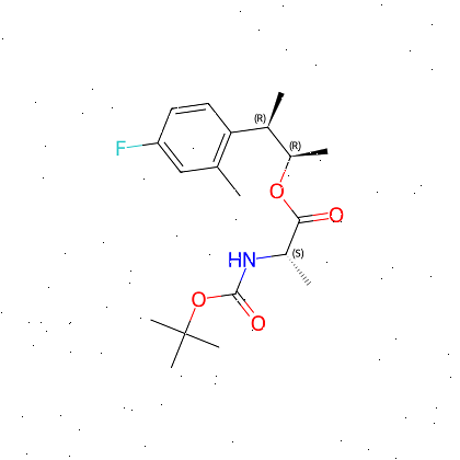 Cc1cc(F)ccc1[C@@H](C)[C@@H](C)OC(=O)[C@H](C)NC(=O)OC(C)(C)C